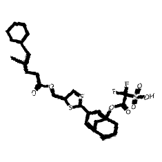 CC(CCC(=O)OCC1CSC(C2C=C3CCCC(OC(=O)C(F)(F)S(=O)(=O)O)(C3)C2)S1)CC1CCCCC1